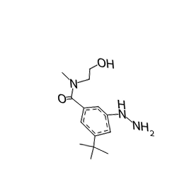 CN(CCO)C(=O)c1cc(NN)cc(C(C)(C)C)c1